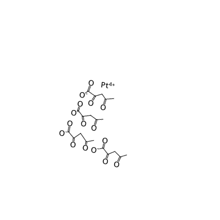 CC(=O)CC(=O)C(=O)[O-].CC(=O)CC(=O)C(=O)[O-].CC(=O)CC(=O)C(=O)[O-].CC(=O)CC(=O)C(=O)[O-].[Pt+4]